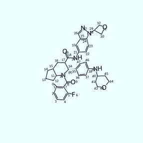 Cc1cccc(F)c1C(=O)N1C2CCCC2CC(C(=O)Nc2ccc3c(cnn3C3COC3)c2)[C@@H]1c1ccc(NC2CCOCC2)cc1